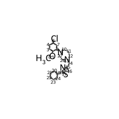 COc1ccc(Cl)cc1N1CCCN(Cc2csc(-c3ccccc3)n2)CC1